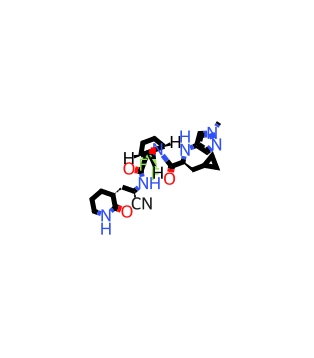 Cn1cc(N[C@@H](CC2CC2)C(=O)N2[C@H]3CC[C@@H]([C@H]2C(=O)N[C@H](C#N)C[C@H]2CCCNC2=O)C(F)(F)C3)cn1